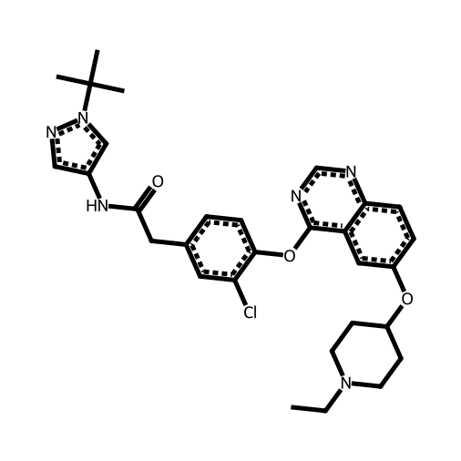 CCN1CCC(Oc2ccc3ncnc(Oc4ccc(CC(=O)Nc5cnn(C(C)(C)C)c5)cc4Cl)c3c2)CC1